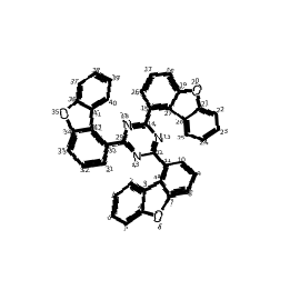 c1ccc2c(c1)oc1cccc(-c3nc(-c4cccc5oc6ccccc6c45)nc(-c4cccc5oc6ccccc6c45)n3)c12